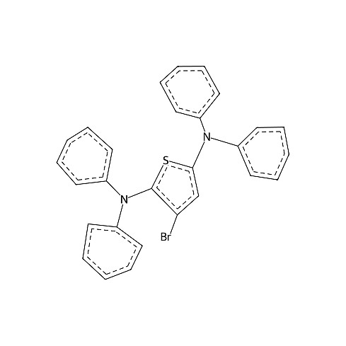 Brc1cc(N(c2ccccc2)c2ccccc2)sc1N(c1ccccc1)c1ccccc1